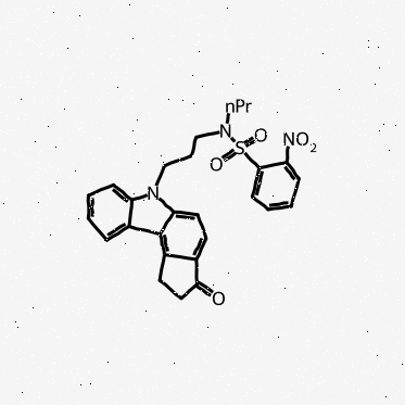 CCCN(CCCn1c2ccccc2c2c3c(ccc21)C(=O)CC3)S(=O)(=O)c1ccccc1[N+](=O)[O-]